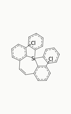 Clc1cccc2c1[Si](c1ccccc1)(c1ccccc1)c1c(Cl)cccc1C=C2